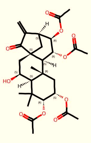 C=C1C(=O)[C@@]23C[C@H](O)[C@@H]4C(C)(C)[C@@H](OC(C)=O)[C@@H](OC(C)=O)C[C@@]4(C)[C@@H]2[C@@H](OC(C)=O)[C@H](OC(C)=O)[C@H]1C3